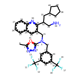 Cc1nnc(N(Cc2cc(C(F)(F)F)cc(C(F)(F)F)c2)Cc2cc3ccccc3nc2C(CN)CC2CCCC2)o1